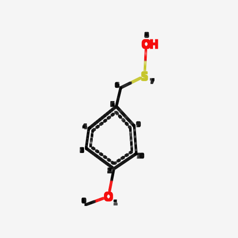 COc1ccc(CSO)cc1